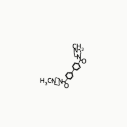 CN1CCN(C(=O)c2ccc(-c3ccc(C(=O)N4CCN(C)CC4)cc3)cc2)CC1